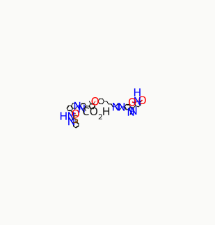 Cc1c(O[C@H]2CC[C@H](CCCCN3CCN(c4ccc5c(C6CCC(=O)NC6=O)nn(C)c5c4)CC3)CC2)cccc1-c1ccc(N2CCc3cccc(C(=O)Nc4nc5ccccc5s4)c3C2)nc1C(=O)O